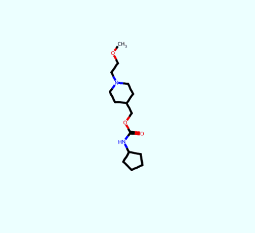 COCCN1CCC(COC(=O)NC2CCCC2)CC1